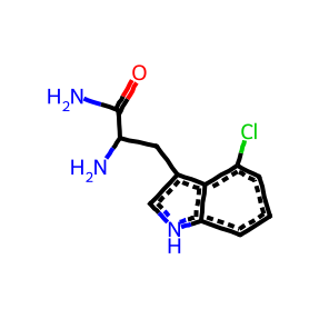 NC(=O)C(N)Cc1c[nH]c2cccc(Cl)c12